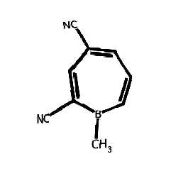 CB1C=CC=C(C#N)C=C1C#N